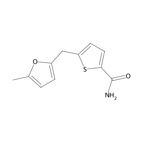 Cc1ccc(Cc2ccc(C(N)=O)s2)o1